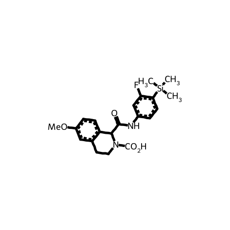 COc1ccc2c(c1)CCN(C(=O)O)C2C(=O)Nc1ccc([Si](C)(C)C)c(F)c1